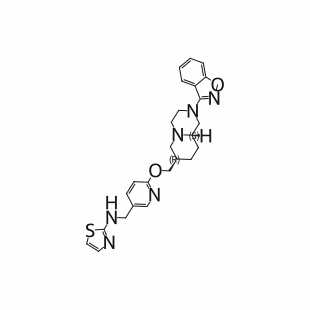 c1ccc2c(N3CCN4C[C@H](COc5ccc(CNc6nccs6)cn5)CC[C@H]4C3)noc2c1